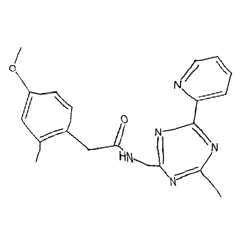 COc1ccc(CC(=O)Nc2nc(C)nc(-c3ccccn3)n2)c(C)c1